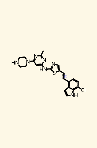 Cc1nc(Nc2ncc(/C=C/c3ccc(Cl)c4[nH]ccc34)s2)cc(N2CCNCC2)n1